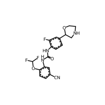 N#Cc1ccc(OC(F)F)c(NC(=O)Nc2ccc(C3CNCCO3)cc2F)c1